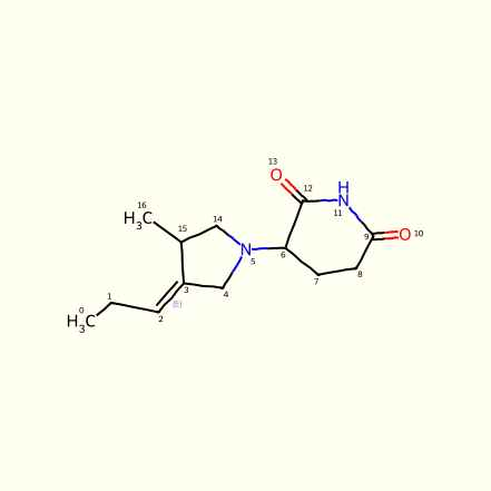 CC/C=C1/CN(C2CCC(=O)NC2=O)CC1C